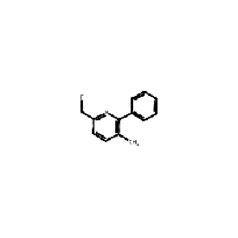 Cc1ccc(CF)nc1-c1ccccc1